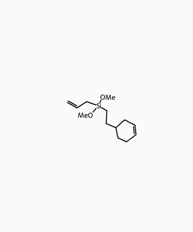 C=CC[Si](CCC1CC=CCC1)(OC)OC